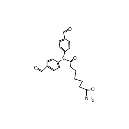 NC(=O)CCCCCC(=O)N(c1ccc(C=O)cc1)c1ccc(C=O)cc1